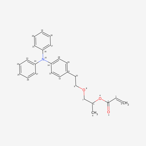 C=CC(=O)OC(C)COCCc1ccc(N(c2ccccc2)c2ccccc2)cc1